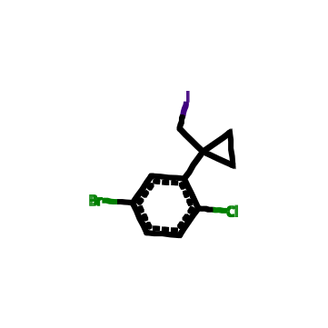 Clc1ccc(Br)cc1C1(CI)CC1